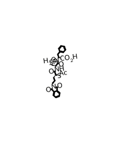 CC(=O)S[C@@H](CCCN1C(=O)c2ccccc2C1=O)C(=O)N[C@@H](CS)C(=O)N(C)[C@@H](Cc1ccccc1)C(=O)O